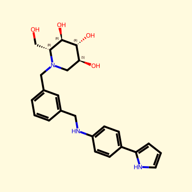 OC[C@@H]1[C@@H](O)[C@H](O)[C@@H](O)CN1Cc1cccc(CNc2ccc(-c3ccc[nH]3)cc2)c1